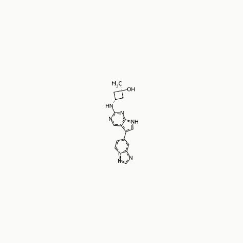 C[C@]1(O)C[C@H](Nc2ncc3c(-c4ccn5ncnc5c4)c[nH]c3n2)C1